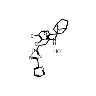 Cl.O=C(CCc1nc(-c2ccccn2)no1)NC1CC2CCC(C1)N2Cc1ccc(Cl)c(Cl)c1